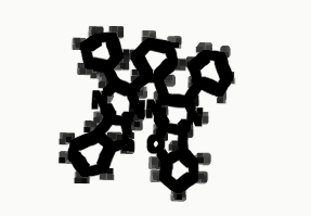 c1ccc(-c2nc3c(nc2-c2ccccc2-c2nc4sc5ccccc5c4nc2-c2ccccc2)oc2ccccc23)cc1